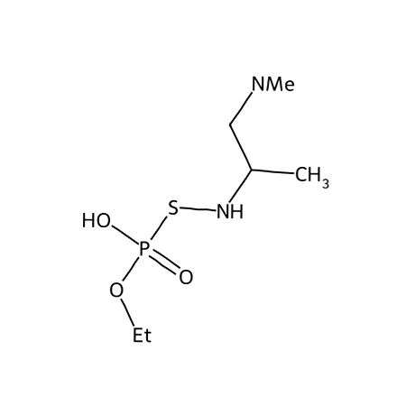 CCOP(=O)(O)SNC(C)CNC